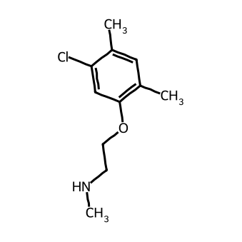 CNCCOc1cc(Cl)c(C)cc1C